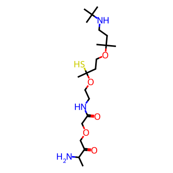 CC(N)C(=O)COCC(=O)NCCOC(C)(S)CCOC(C)(C)CCNC(C)(C)C